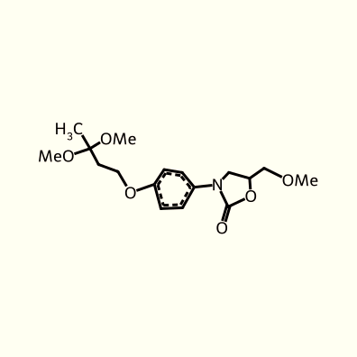 COCC1CN(c2ccc(OCCC(C)(OC)OC)cc2)C(=O)O1